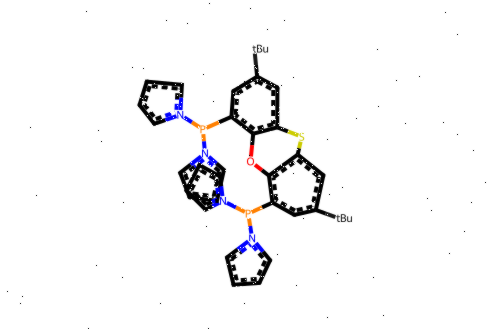 CC(C)(C)c1cc2c(c(P(n3cccc3)n3cccc3)c1)Oc1c(cc(C(C)(C)C)cc1P(n1cccc1)n1cccc1)S2